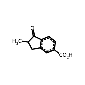 CC1Cc2cc(C(=O)O)ccc2C1=O